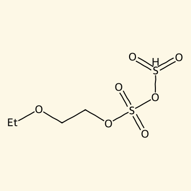 CCOCCOS(=O)(=O)O[SH](=O)=O